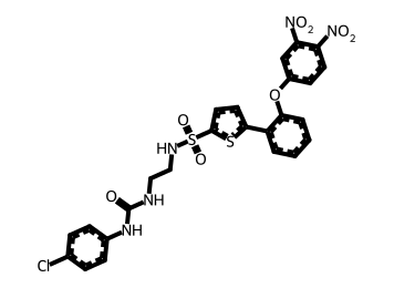 O=C(NCCNS(=O)(=O)c1ccc(-c2ccccc2Oc2ccc([N+](=O)[O-])c([N+](=O)[O-])c2)s1)Nc1ccc(Cl)cc1